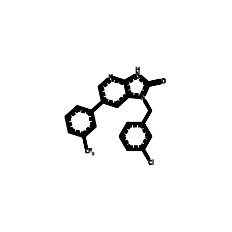 O=c1[nH]c2ncc(-c3cccc(C(F)(F)F)c3)cc2n1Cc1cccc(Cl)c1